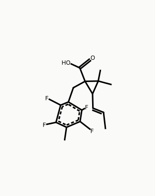 CC=CC1C(C)(C)C1(Cc1c(F)c(F)c(C)c(F)c1F)C(=O)O